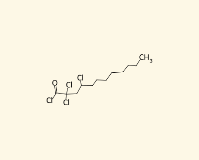 CCCCCCCCC(Cl)CC(Cl)(Cl)C(=O)Cl